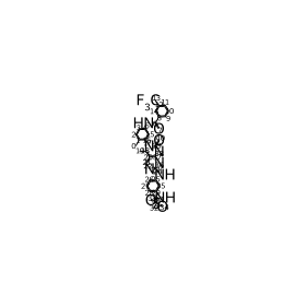 Cc1ccc(NC(=O)c2cccc(C(F)(F)F)c2)cc1-n1c(C)c2cnc(Nc3cccc(NS(C)(=O)=O)c3)nc2nc1=O